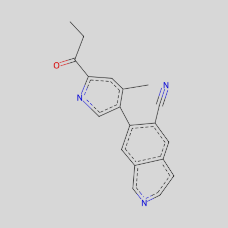 CCC(=O)c1cc(C)c(-c2cc3cnccc3cc2C#N)cn1